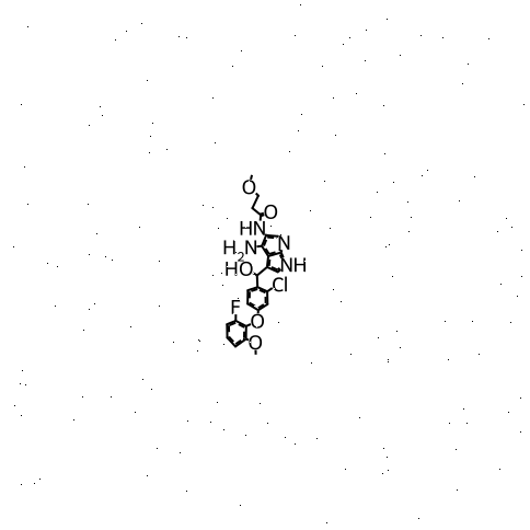 COCCC(=O)Nc1cnc2[nH]cc(C(O)c3ccc(Oc4c(F)cccc4OC)cc3Cl)c2c1N